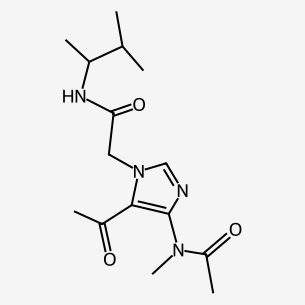 CC(=O)c1c(N(C)C(C)=O)ncn1CC(=O)NC(C)C(C)C